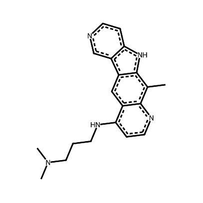 Cc1c2nccc(NCCCN(C)C)c2cc2c1[nH]c1ccncc12